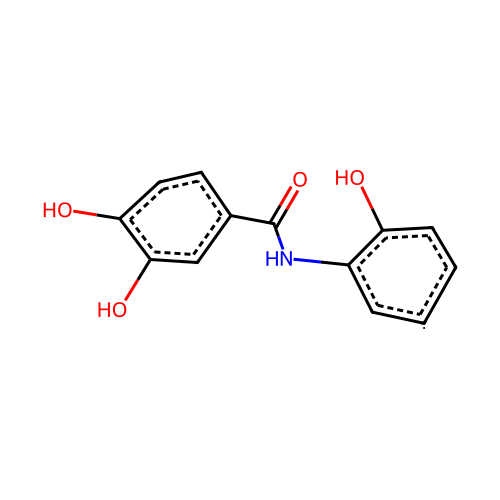 O=C(Nc1c[c]ccc1O)c1ccc(O)c(O)c1